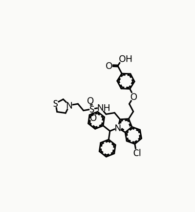 O=C(O)c1ccc(OCCc2c(CCNS(=O)(=O)CCN3CCSC3)n(C(c3ccccc3)c3ccccc3)c3cc(Cl)ccc23)cc1